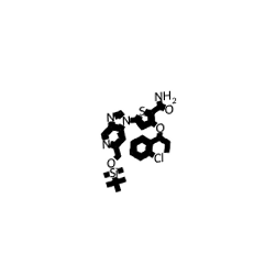 CCC(Oc1cc(-n2cnc3cnc(CO[Si](C)(C)C(C)(C)C)cc32)sc1C(N)=O)c1ccccc1Cl